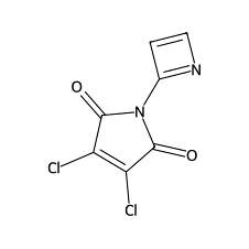 O=C1C(Cl)=C(Cl)C(=O)N1C1=NC=C1